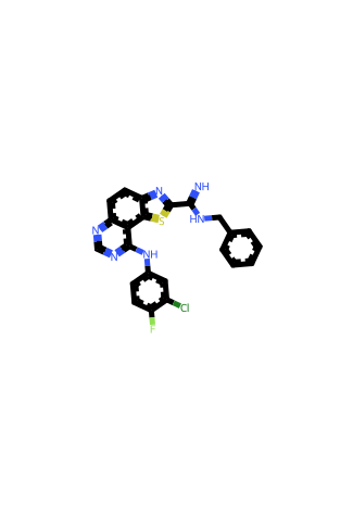 N=C(NCc1ccccc1)c1nc2ccc3ncnc(Nc4ccc(F)c(Cl)c4)c3c2s1